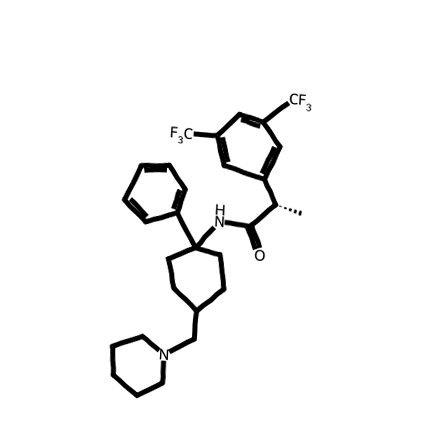 C[C@H](C(=O)NC1(c2ccccc2)CCC(CN2CCCCC2)CC1)c1cc(C(F)(F)F)cc(C(F)(F)F)c1